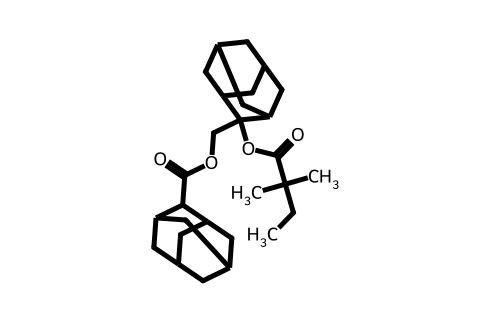 CCC(C)(C)C(=O)OC1(COC(=O)C2C3CC4CC(C3)CC2C4)C2CC3CC(C2)CC1C3